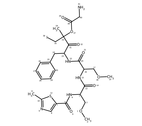 COCC(NC(=O)c1cnc(C)s1)C(=O)NC(COC)C(=O)NC(Cc1ccccc1)C(=O)C(C)(CI)OC(=O)CN